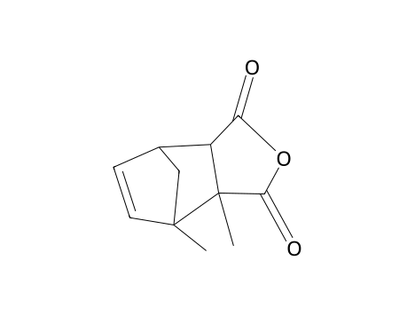 CC12C=CC(C1)C1C(=O)OC(=O)C12C